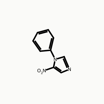 O=[N+]([O-])c1cncn1-c1ccccc1